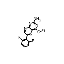 CCOc1nc(N)nc2ncc(-c3c(F)cccc3F)nc12